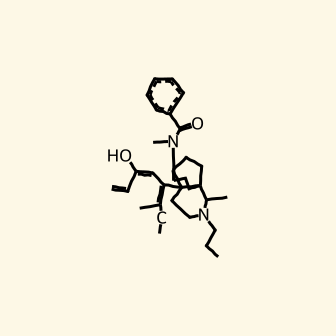 C=C/C(O)=C\C(=C(/C)CC)C12CCN(CCC)C(C)C13CCC(N(C)C(=O)c1ccccc1)C2CC3